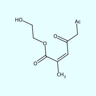 CC(=O)CC(=O)C=C(C)C(=O)OCCO